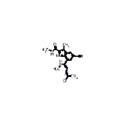 CNC(=O)c1[nH]c2c(/C(=C/C=C(\C)Cl)NC)cc(C#N)cc2c1C